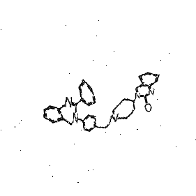 O=c1nc2ccccc2cn1C1CCN(Cc2ccc(N3Cc4ccccc4N=C3c3ccccc3)cc2)CC1